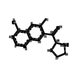 Cc1cc2c(Cl)ncnc2cc1C(=O)C1NCCS1